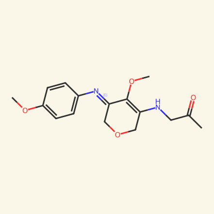 COC1=C(NCC(C)=O)COC/C1=N\c1ccc(OC)cc1